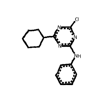 Clc1nc(Nc2ccccc2)nc(C2CCCCC2)n1